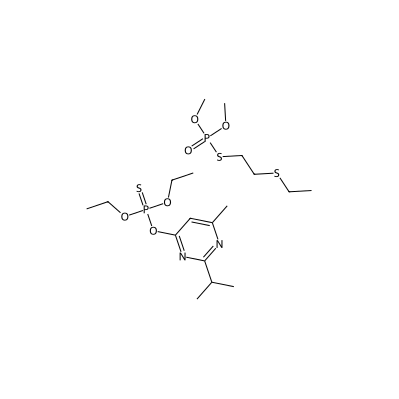 CCOP(=S)(OCC)Oc1cc(C)nc(C(C)C)n1.CCSCCSP(=O)(OC)OC